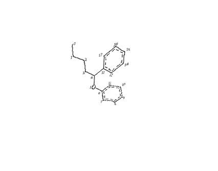 CCCCC(Oc1ccccc1)c1ccccc1